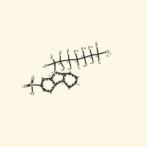 O=S(=O)([O-])c1ccc2c3ccccc3[s+](C(F)(F)C(F)(F)C(F)(F)C(F)(F)C(F)(F)C(F)(F)C(F)(F)C(F)(F)F)c2c1